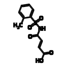 Cc1ccccc1S(=O)(=O)NC(=O)C=CC(=O)O